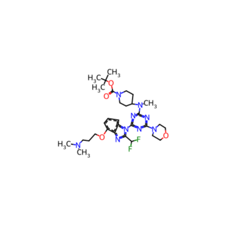 CN(C)CCCOc1cccc2c1nc(C(F)F)n2-c1nc(N2CCOCC2)nc(N(C)C2CCN(C(=O)OC(C)(C)C)CC2)n1